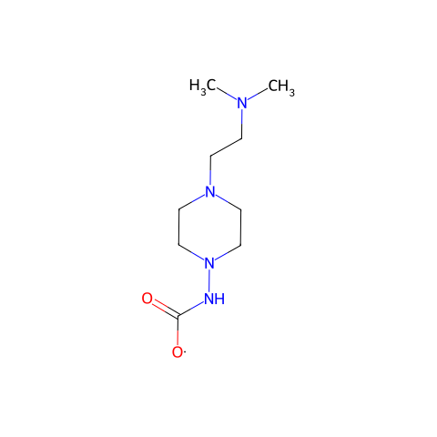 CN(C)CCN1CCN(NC([O])=O)CC1